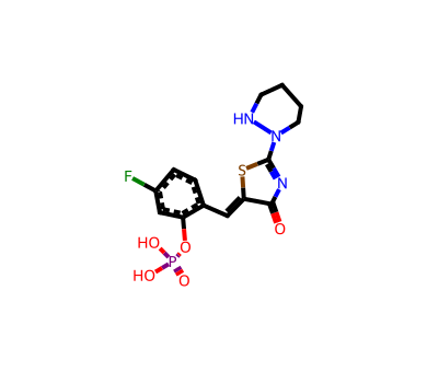 O=C1N=C(N2CCCCN2)S/C1=C\c1ccc(F)cc1OP(=O)(O)O